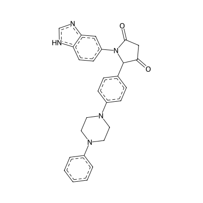 O=C1CC(=O)N(c2ccc3[nH]cnc3c2)C1c1ccc(N2CCN(c3ccccc3)CC2)cc1